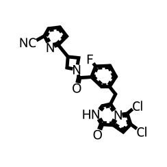 N#Cc1cccc(C2CN(C(=O)c3cc(Cc4c[nH]c(=O)c5cc(Cl)c(Cl)n45)ccc3F)C2)n1